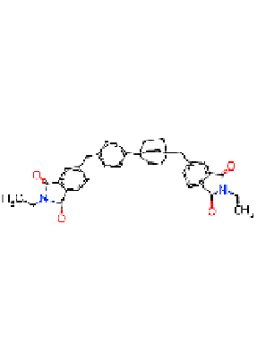 CCN1C(=O)c2ccc(Cc3ccc(C45CCC(Cc6ccc7c(c6)C(=O)N(CC)C7=O)(CC4)CC5)cc3)cc2C1=O